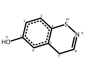 Oc1ccc2c(c1)CC=NS2